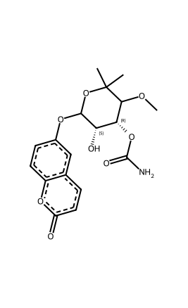 COC1[C@H](OC(N)=O)[C@H](O)C(Oc2ccc3oc(=O)ccc3c2)OC1(C)C